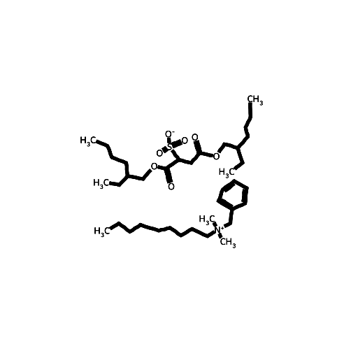 CCCCC(CC)COC(=O)CC(C(=O)OCC(CC)CCCC)S(=O)(=O)[O-].CCCCCCCCC[N+](C)(C)Cc1ccccc1